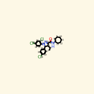 CCC1C(C(=O)NC2CCCCCC2)=NN(c2ccc(Cl)cc2Cl)C1c1ccc(Cl)cc1